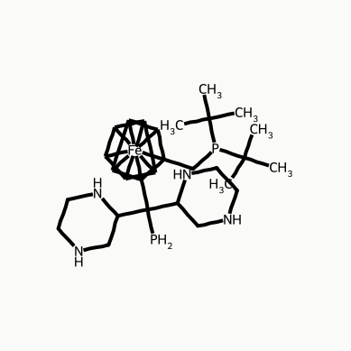 CC(C)(C)P(C[C]12[CH]3[CH]4[CH]5[C]1(C(P)(C1CNCCN1)C1CNCCN1)[Fe]43521678[CH]2[CH]1[CH]6[CH]7[CH]28)C(C)(C)C